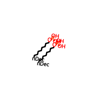 CCCCCCCCCCCCCCCCCCOP(O)O.CCCCCCCCCCCCCCCCCCOP(O)O